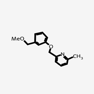 COCc1cccc(OCc2cccc(C)n2)c1